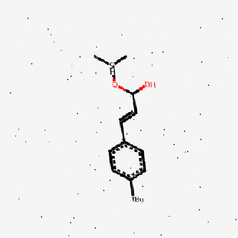 C[SiH](C)OC(O)C=Cc1ccc(C(C)(C)C)cc1